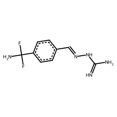 N=C(N)N/N=C/c1ccc(C(N)(F)F)cc1